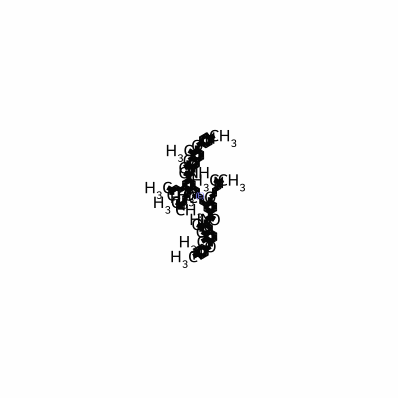 CC(C)=CCc1cc(C(=O)Nc2cc3ccc(OC4CCN(C)CC4)c(C)c3oc2=O)cc(C/C(C)=C/Cc2cc(C(=O)Nc3cc4ccc(OC5CCN(C)CC5)c(C)c4oc3=O)ccc2OCCCN(C)C)c1OCCN(C)C